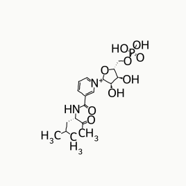 CC(=O)[C@H](CC(C)C)NC(=O)c1ccc[n+]([C@@H]2O[C@H](COP(=O)(O)O)[C@@H](O)[C@H]2O)c1